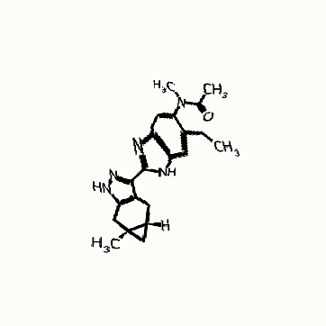 CCc1cc2[nH]c(-c3n[nH]c4c3C[C@@H]3C[C@]3(C)C4)nc2cc1N(C)C(C)=O